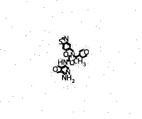 CC(C1CCOCC1)N(Cc1ccc2scnc2c1)C(=O)C(=O)Nc1cnc(N)c2c1COC2